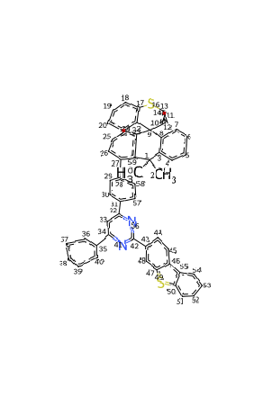 CC1(C)c2ccccc2C2(c3ccccc3Sc3ccccc32)c2cccc(-c3ccc(-c4cc(-c5ccccc5)nc(-c5ccc6c(c5)sc5ccccc56)n4)cc3)c21